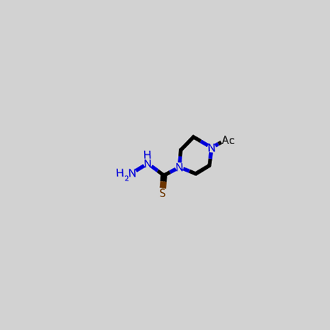 CC(=O)N1CCN(C(=S)NN)CC1